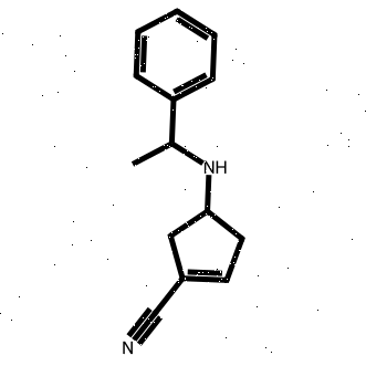 CC(NC1CC=C(C#N)C1)c1ccccc1